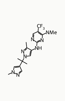 CNc1nc(Nc2cn(C(C)(C)c3cnn(C)c3)nc2C)ncc1C(F)(F)F